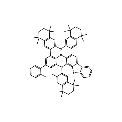 Cc1ccccc1-c1cc2c3c(c1)N(c1cc4c(cc1C)C(C)(C)CCC4(C)C)c1c(ccc4c1sc1ccccc14)B3N(c1ccc3c(c1)C(C)(C)CCC3(C)C)c1cc3c(cc1-2)C(C)(C)CCC3(C)C